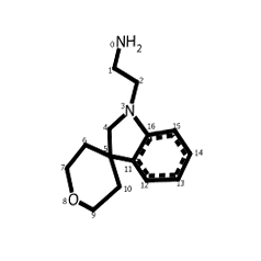 NCCN1CC2(CCOCC2)c2ccccc21